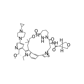 CCn1c(-c2cc(N3CCN(C4CC4)CC3)cnc2[C@H](C)OC)c2c3cc(ccc31)-c1csc(n1)C[C@H](NC(=O)[C@H]1[C@@H]3COC[C@@H]31)C(=O)N1CCC[C@H](N1)C(=O)OCC(C)(C)C2